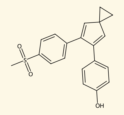 CS(=O)(=O)c1ccc(C2=CC3(C=C2c2ccc(O)cc2)CC3)cc1